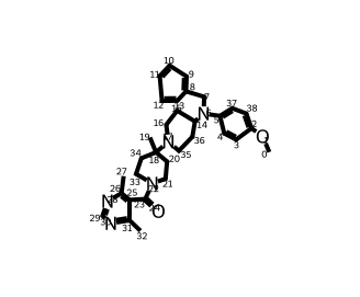 COc1ccc(N(Cc2ccccc2)C2CCN(C3(C)CCN(C(=O)c4c(C)ncnc4C)CC3)CC2)cc1